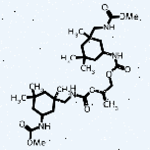 COC(=O)NCC1(C)CC(NC(=O)OCC(C)OC(=O)NCC2(C)CC(NC(=O)OC)CC(C)(C)C2)CC(C)(C)C1